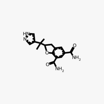 CC(C)(c1cn[nH]c1)C1Cc2cc(C(N)=O)cc(C(N)=O)c2O1